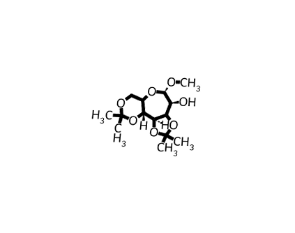 CO[C@H]1OC2COC(C)(C)O[C@H]2[C@@H]2OC(C)(C)OC2[C@@H]1O